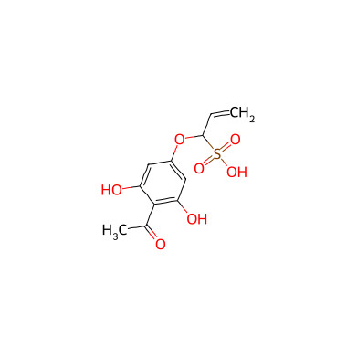 C=CC(Oc1cc(O)c(C(C)=O)c(O)c1)S(=O)(=O)O